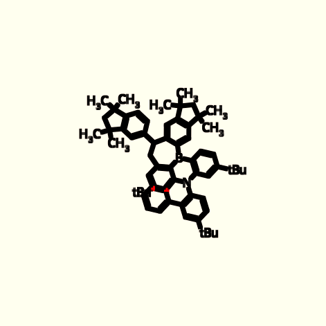 CC(C)(C)c1ccc(N2c3cc(C(C)(C)C)ccc3B3c4cc5c(cc4C(c4ccc6c(c4)C(C)(C)CC6(C)C)Cc4cc(C(C)(C)C)cc2c43)C(C)(C)CC5(C)C)c(-c2ccccc2)c1